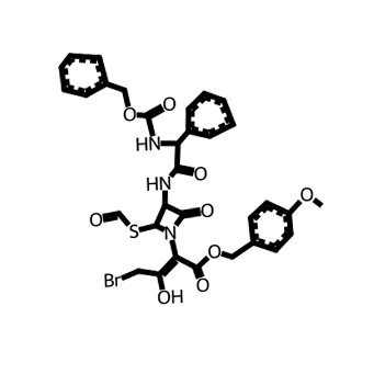 COc1ccc(COC(=O)C(=C(O)CBr)N2C(=O)C(NC(=O)C(NC(=O)OCc3ccccc3)c3ccccc3)C2SC=O)cc1